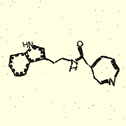 O=C(NCCc1c[nH]c2ccccc12)C1=CC=CN=CC1